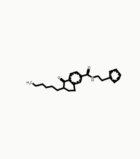 CCCCCCC1CCc2cc(C(=O)NCCc3ccccc3)ccc2C1=O